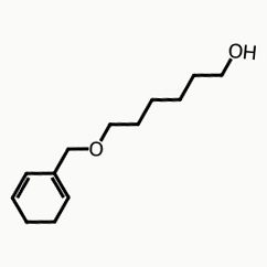 OCCCCCCOCC1=CCCC=C1